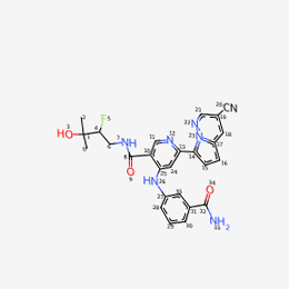 CC(C)(O)C(F)CNC(=O)c1cnc(-c2ccc3cc(C#N)cnn23)cc1Nc1cccc(C(N)=O)c1